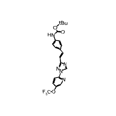 CC(C)(C)OC(=O)Nc1ccc(/C=C/c2ncn(-c3ccc(OC(F)(F)F)cn3)n2)cc1